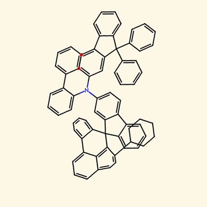 c1ccc(-c2ccccc2N(c2ccc3c(c2)C(c2ccccc2)(c2ccccc2)c2ccccc2-3)c2ccc3c(c2)C2(c4ccccc4-3)c3ccccc3-c3cccc4ccc(C5CCCCC5)c2c34)cc1